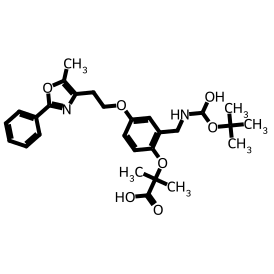 Cc1oc(-c2ccccc2)nc1CCOc1ccc(OC(C)(C)C(=O)O)c(CNC(O)OC(C)(C)C)c1